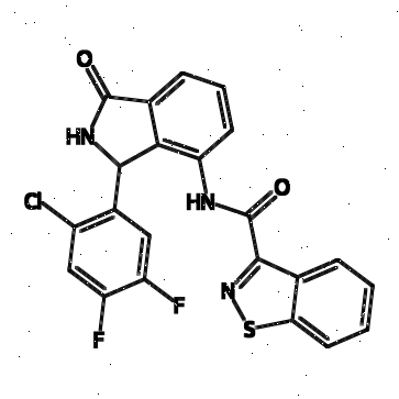 O=C1NC(c2cc(F)c(F)cc2Cl)c2c(NC(=O)c3nsc4ccccc34)cccc21